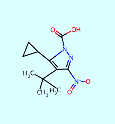 CC(C)(C)c1c([N+](=O)[O-])nn(C(=O)O)c1C1CC1